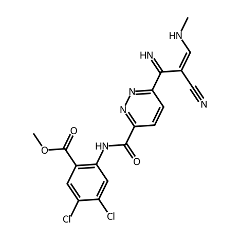 CN/C=C(/C#N)C(=N)c1ccc(C(=O)Nc2cc(Cl)c(Cl)cc2C(=O)OC)nn1